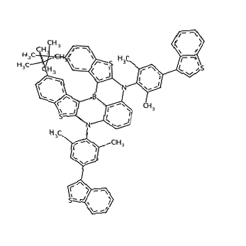 Cc1cc(-c2csc3ccccc23)cc(C)c1N1c2cccc3c2B(c2c1sc1ccc(C(C)(C)C)cc21)c1c(sc2ccc(C(C)(C)C)cc12)N3c1c(C)cc(-c2csc3ccccc23)cc1C